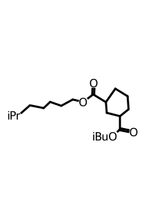 CC(C)CCCCCOC(=O)C1CCCC(C(=O)OCC(C)C)C1